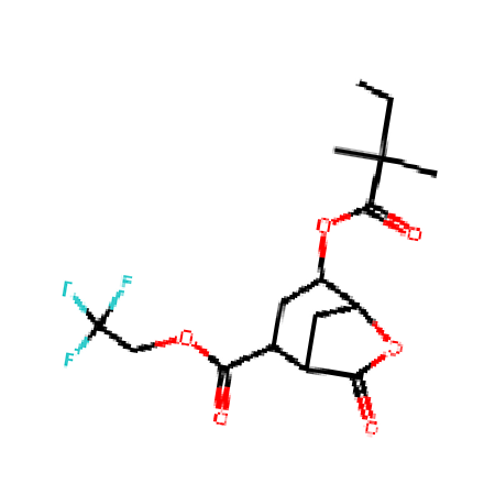 CCC(C)(C)C(=O)OC1CC(C(=O)OCC(F)(F)F)C2CC1OC2=O